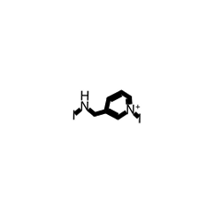 INCc1ccc[n+](I)c1